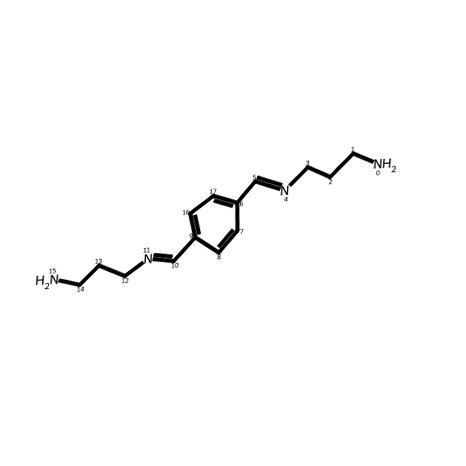 NCCC/N=C/c1ccc(/C=N/CCCN)cc1